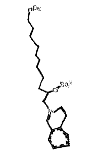 CCCCCCCCCCCCCCCCCCCC(C[N+]1=Cc2ccccc2CC1)OS(=O)(=O)O